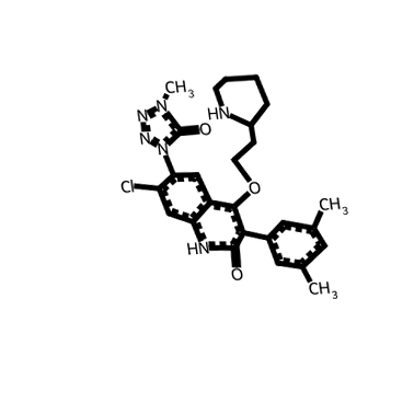 Cc1cc(C)cc(-c2c(OCCC3CCCCN3)c3cc(-n4nnn(C)c4=O)c(Cl)cc3[nH]c2=O)c1